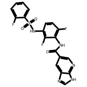 O=C(Nc1c(F)ccc(NS(=O)(=O)c2ccccc2F)c1F)c1cnc2[nH]cnc2c1